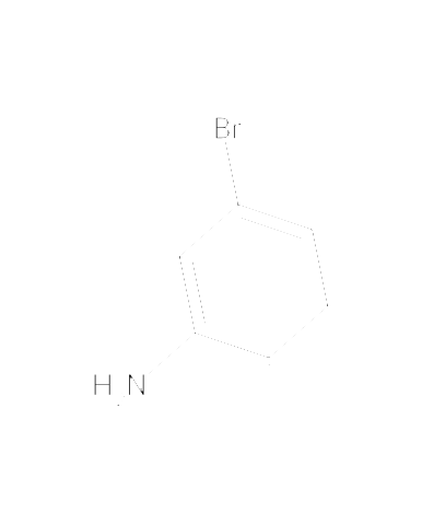 NC1=CC(Br)=CC[CH]1